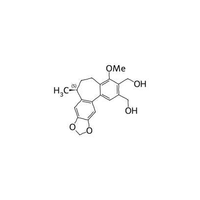 COc1c(CO)c(CO)cc2c1CC[C@H](C)c1cc3c(cc1-2)OCO3